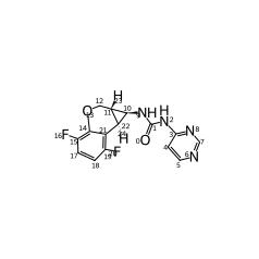 O=C(Nc1ccncn1)N[C@@H]1[C@H]2COc3c(F)ccc(F)c3[C@@H]21